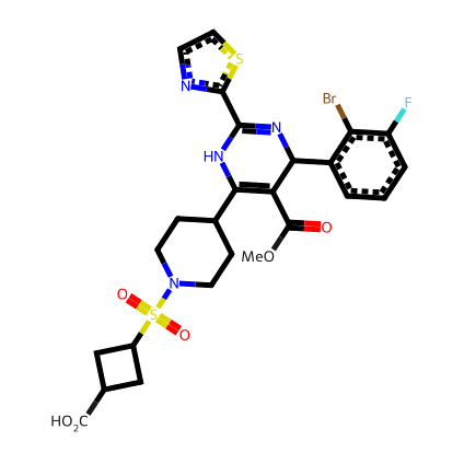 COC(=O)C1=C(C2CCN(S(=O)(=O)C3CC(C(=O)O)C3)CC2)NC(c2nccs2)=NC1c1cccc(F)c1Br